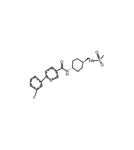 CS(=O)(=O)NC[C@H]1CC[C@H](NC(=O)c2ccc(-c3cccc(F)c3)nc2)CC1